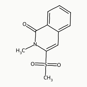 Cn1c(S(C)(=O)=O)cc2ccccc2c1=O